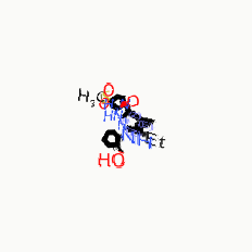 CCC1=C(N[C@@H]2CCCC[C@@H]2CO)/N=C(Nc2cccc(S(C)(=O)=O)c2)\C(C(N)=O)=C\C=C\1